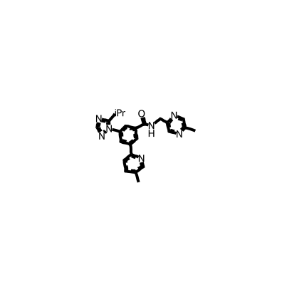 Cc1ccc(-c2cc(C(=O)NCc3cnc(C)cn3)cc(-n3ncnc3C(C)C)c2)nc1